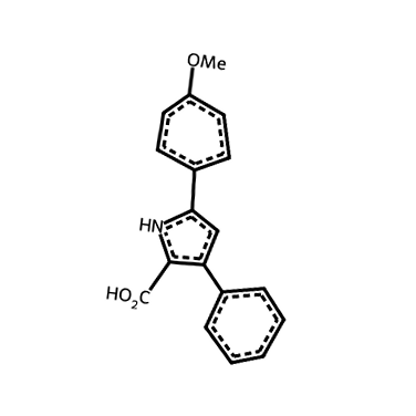 COc1ccc(-c2cc(-c3ccccc3)c(C(=O)O)[nH]2)cc1